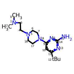 CN(C)CCN1CCN(c2cc(C(C)(C)C)nc(N)n2)CC1